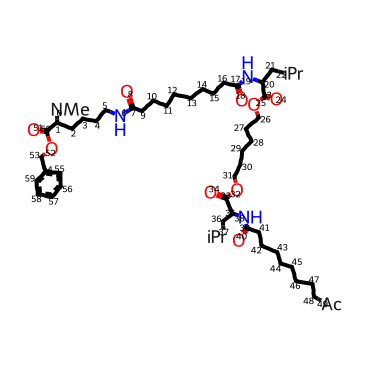 CNC(CCCCNC(=O)CCCCCCCCC(=O)NC(CC(C)C)C(=O)OCCCCCCOC(=O)C(CC(C)C)NC(=O)CCCCCCCCC(C)=O)C(=O)OCc1ccccc1